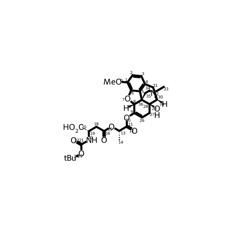 COc1ccc2c3c1O[C@H]1C(OC(=O)[C@H](C)OC(=O)C[C@H](NC(=O)OC(C)(C)C)C(=O)O)=CC[C@@]4(O)[C@@H](C2)N(C)CC[C@]314